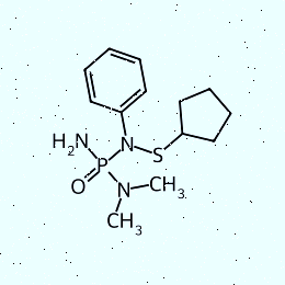 CN(C)P(N)(=O)N(SC1CCCC1)c1ccccc1